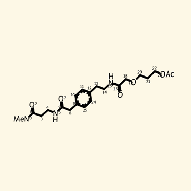 CNC(=O)CCNC(=O)Cc1ccc(CCNC(=O)COCCCOC(C)=O)cc1